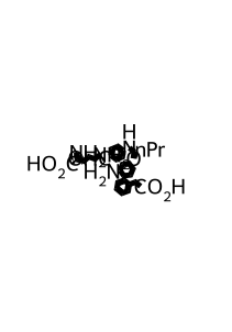 CCCC(=O)Nc1ccc(C=O)cc1.NC1CCCCC1.NCCC[C@H](N)C(=O)O.O=C(O)Cc1ccccc1